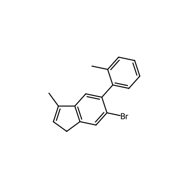 CC1=CCc2cc(Br)c(-c3ccccc3C)cc21